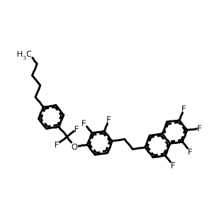 CCCCCc1ccc(C(F)(F)Oc2ccc(CCc3cc(F)c4c(F)c(F)c(F)cc4c3)c(F)c2F)cc1